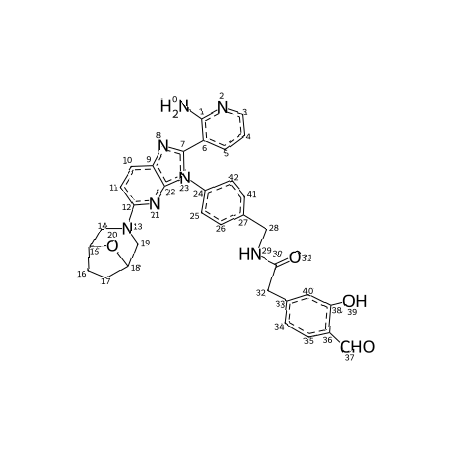 Nc1ncccc1-c1nc2ccc(N3CC4CCC(C3)O4)nc2n1-c1ccc(CNC(=O)Cc2ccc(C=O)c(O)c2)cc1